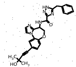 CC(C)(O)C#Cc1ccc2c(c1)-n1ccnc1C(NC(=O)c1n[nH]c(Cc3ccccc3)n1)CO2